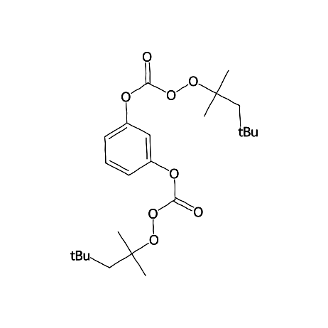 CC(C)(C)CC(C)(C)OOC(=O)Oc1cccc(OC(=O)OOC(C)(C)CC(C)(C)C)c1